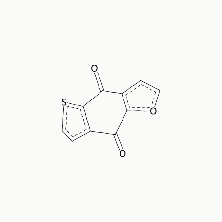 O=C1c2ccsc2C(=O)c2ccoc21